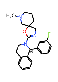 CN1CCCC2(CN=C(N3CCc4ccccc4[C@@H]3c3cccc(F)c3)O2)C1